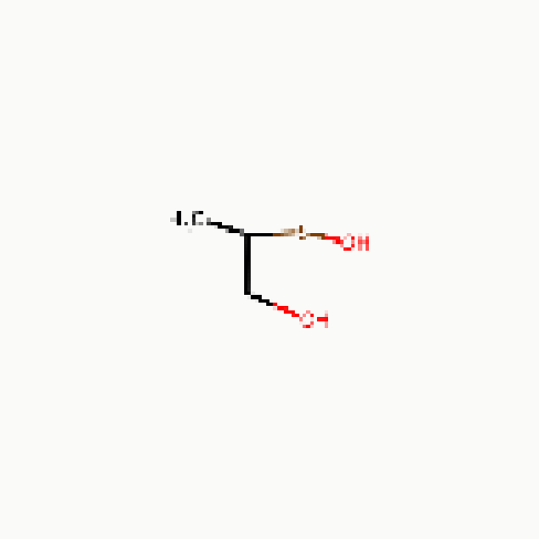 CC(CO)SO